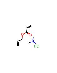 C=CCOC(=O)C=C.CN(C)C.Cl